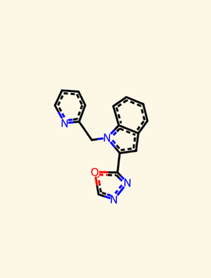 c1ccc(Cn2c(-c3nnco3)cc3ccccc32)nc1